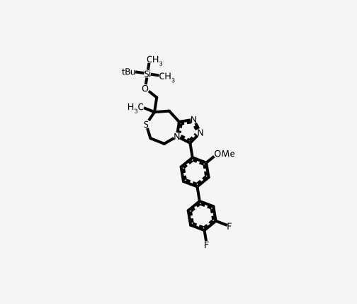 COc1cc(-c2ccc(F)c(F)c2)ccc1-c1nnc2n1CCSC(C)(CO[Si](C)(C)C(C)(C)C)C2